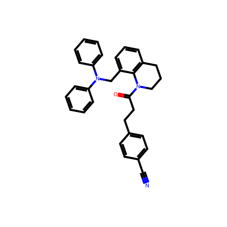 N#Cc1ccc(CCC(=O)N2CCCc3cccc(CN(c4ccccc4)c4ccccc4)c32)cc1